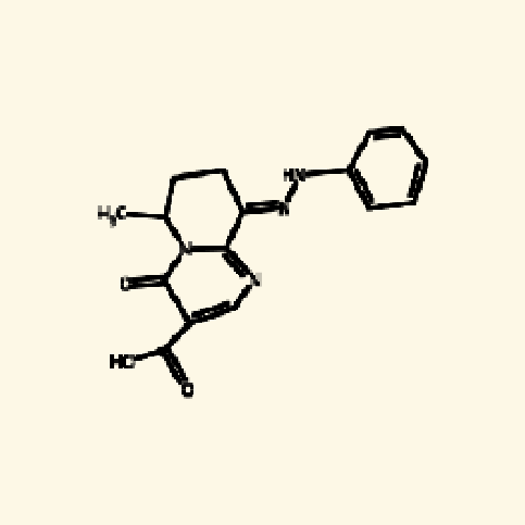 CC1CC/C(=N\Nc2ccccc2)c2ncc(C(=O)O)c(=O)n21